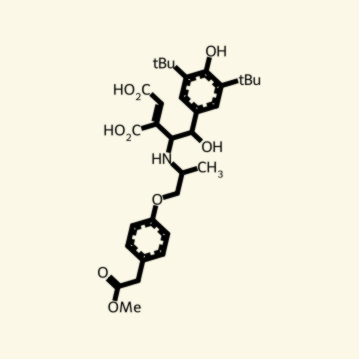 COC(=O)Cc1ccc(OCC(C)NC(/C(=C/C(=O)O)C(=O)O)C(O)c2cc(C(C)(C)C)c(O)c(C(C)(C)C)c2)cc1